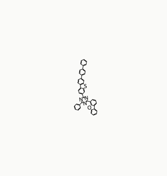 c1ccc(-c2ccc(-c3ccc4c(c3)sc3cc(-c5nc(-c6ccccc6)nc(-c6cccc7c6oc6ccccc67)n5)ccc34)cc2)cc1